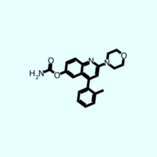 Cc1ccccc1-c1cc(N2CCOCC2)nc2ccc(OC(N)=O)cc12